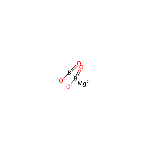 O=B[O-].O=B[O-].[Mg+2]